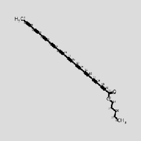 CC#CC#CC#CC#CC#CC#CC#CC#CC#CC#CC(=O)OCCCCC